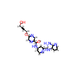 Nc1ncccc1NCc1cc(NC(=O)c2cnc(OCC#CCO)cn2)ccn1